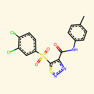 Cc1ccc(NC(=O)c2nnsc2S(=O)(=O)c2ccc(Cl)c(Cl)c2)cc1